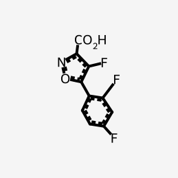 O=C(O)c1noc(-c2ccc(F)cc2F)c1F